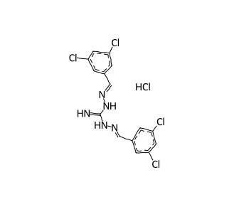 Cl.N=C(NN=Cc1cc(Cl)cc(Cl)c1)NN=Cc1cc(Cl)cc(Cl)c1